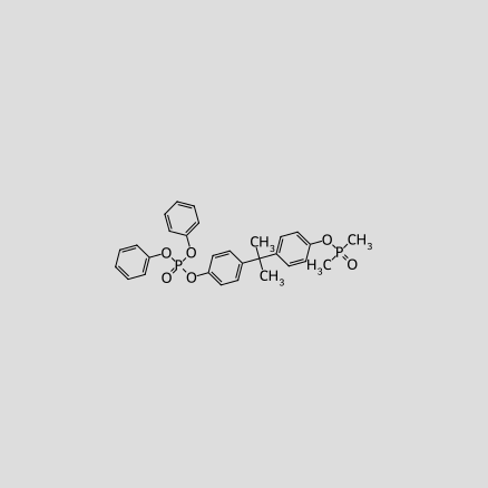 CC(C)(c1ccc(OP(C)(C)=O)cc1)c1ccc(OP(=O)(Oc2ccccc2)Oc2ccccc2)cc1